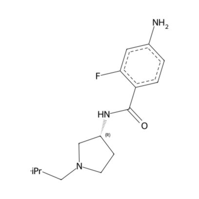 C[C](C)CN1CC[C@@H](NC(=O)c2ccc(N)cc2F)C1